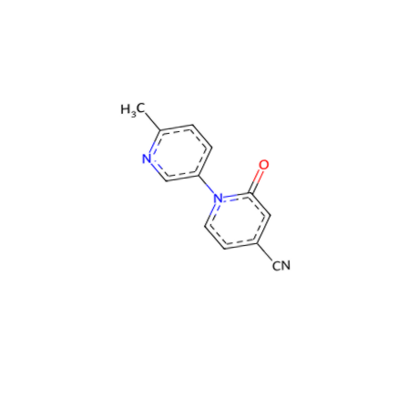 Cc1ccc(-n2ccc(C#N)cc2=O)cn1